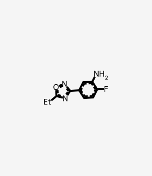 CCc1nc(-c2ccc(F)c(N)c2)no1